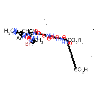 CC(=O)c1nn(CC(=O)N2C[C@@](C)(CNC(=O)COCCOCCNC(=O)COCCOCCNC(=O)CC[C@H](NC(=O)CCCCCCCCCCCCCCCCC(=O)O)C(=O)O)C[C@H]2C(=O)Nc2nc(Br)ccc2C)c2c(C)cc(-c3cnc(C)nc3)cc12